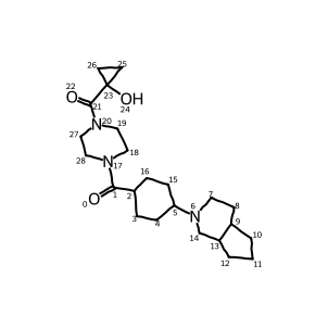 O=C(C1CCC(N2CCC3CCCC3C2)CC1)N1CCN(C(=O)C2(O)CC2)CC1